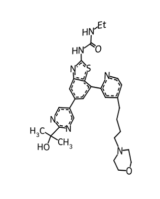 CCNC(=O)Nc1nc2cc(-c3cnc(C(C)(C)O)nc3)cc(-c3cc(CCCCN4CCOCC4)ccn3)c2s1